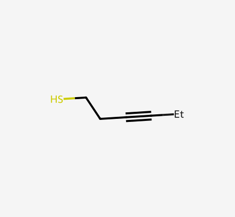 CCC#CCCS